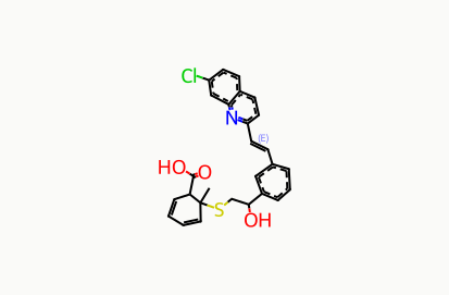 CC1(SCC(O)c2cccc(/C=C/c3ccc4ccc(Cl)cc4n3)c2)C=CC=CC1C(=O)O